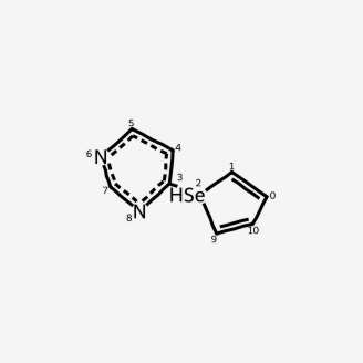 C1=C[SeH](c2ccncn2)C=C1